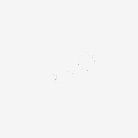 O=C(O)[CH]Nc1ccccc1